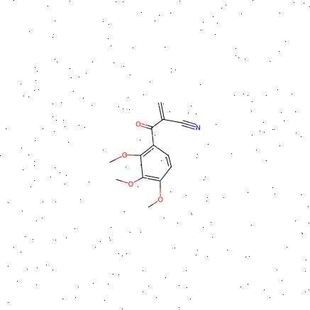 C=C(C#N)C(=O)c1ccc(OC)c(OC)c1OC